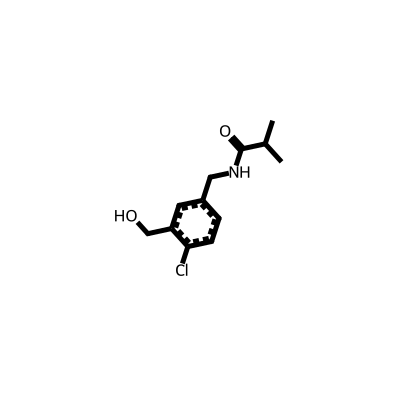 CC(C)C(=O)NCc1ccc(Cl)c(CO)c1